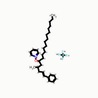 CCCCCCCCCCCCCCC(CC(C)CC=Cc1ccccc1)O[n+]1ccccc1.F[B-](F)(F)F